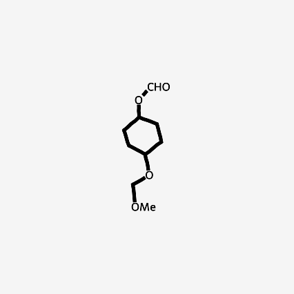 COCOC1CCC(OC=O)CC1